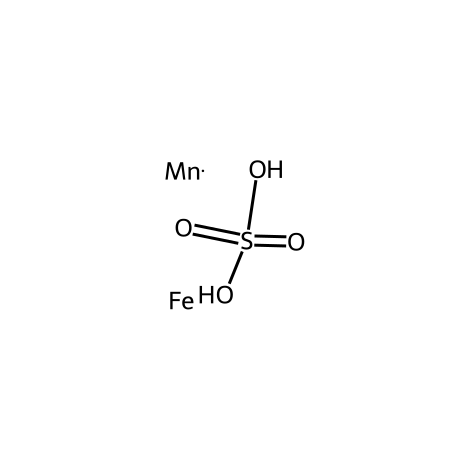 O=S(=O)(O)O.[Fe].[Mn]